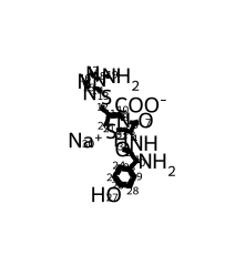 NC(C(=O)N[C@@H]1C(=O)N2C(C(=O)[O-])=C(CSc3nnnn3N)CS[C@H]12)c1ccc(O)cc1.[Na+]